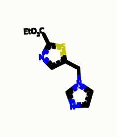 CCOC(=O)c1ncc(Cn2ccnc2)s1